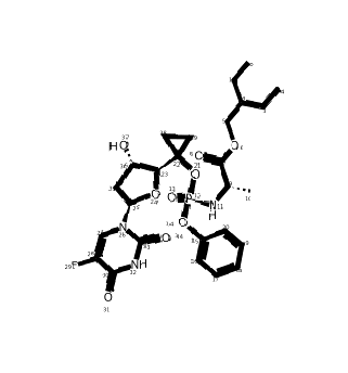 CCC(CC)COC(=O)[C@H](C)N[P@](=O)(Oc1ccccc1)OC1([C@H]2O[C@@H](n3cc(F)c(=O)[nH]c3=O)C[C@@H]2O)CC1